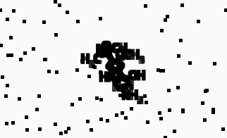 COc1cc2c(cc1-c1c(C)noc1C)[nH]c1nc(N)nc(O)c12